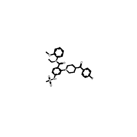 CCN(C(=O)c1ccc(NS(C)(=O)=O)cc1N1CCC(C(=O)c2ccc(F)cc2)CC1)c1ccccc1OC